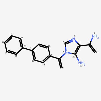 C=C(N)c1ncn(C(=C)c2ccc(-c3ccccc3)cc2)c1N